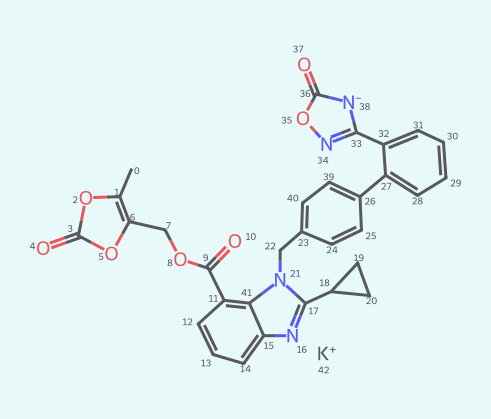 Cc1oc(=O)oc1COC(=O)c1cccc2nc(C3CC3)n(Cc3ccc(-c4ccccc4-c4noc(=O)[n-]4)cc3)c12.[K+]